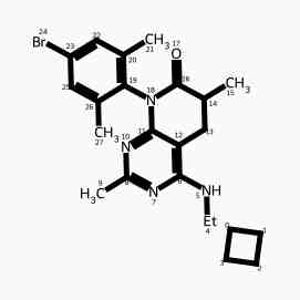 C1CCC1.CCNc1nc(C)nc2c1CC(C)C(=O)N2c1c(C)cc(Br)cc1C